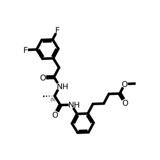 COC(=O)CCCc1ccccc1NC(=O)[C@H](C)NC(=O)Cc1cc(F)cc(F)c1